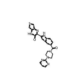 O=C(c1ccc2[nH]c(-c3nc4cscc4[nH]c3=O)cc2c1)N1CCN(c2ncccn2)CC1